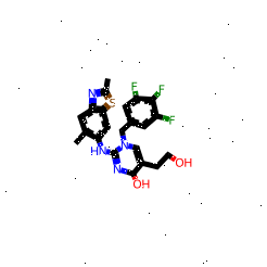 Cc1nc2cc(C)c(NC3=NC(O)C(CCO)=CN3Cc3cc(F)c(F)c(F)c3)cc2s1